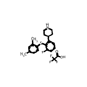 Cc1ccc(Sc2c(F)cccc2C2CCNCC2)c(C)c1.O=C(O)C(F)(F)F